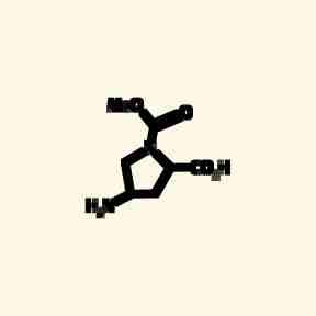 COC(=O)N1CC(N)CC1C(=O)O